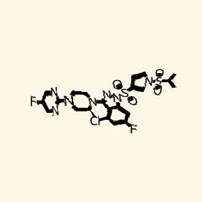 CC(C)S(=O)(=O)n1ccc(S(=O)(=O)n2nc(N3CCN(c4ncc(F)cn4)C[C@@H]3C)c3c(Cl)cc(F)cc32)c1